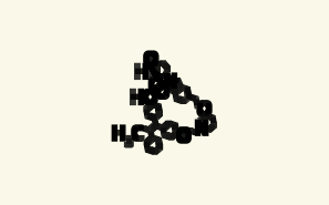 CC/C(=C(\c1ccc(O)cc1)c1ccc(OCCN2CCCC(OCCc3ccc4c(c3)CN(C3CCC(=O)NC3=O)C4=O)C2)cc1)c1ccccc1